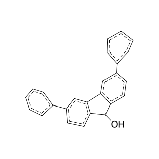 OC1c2ccc(-c3ccccc3)cc2-c2cc(-c3ccccc3)ccc21